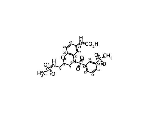 CS(=O)(=O)NCC1CN(S(=O)(=O)c2cccc(S(C)(=O)=O)c2)c2cc(NC(=O)O)ccc2O1